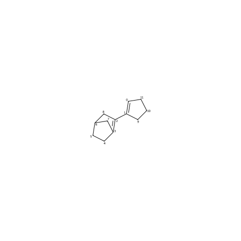 C1=C(C2=C3CCC(C3)C2)CCC1